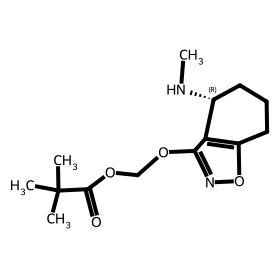 CN[C@@H]1CCCc2onc(OCOC(=O)C(C)(C)C)c21